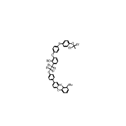 CCC(C)c1cccc(Oc2ccc(-c3ccc(OC(CC)(CC)C(CC)(CC)c4cccc(Oc5ccc(Sc6ccc(OC(C)(CC)CC)cc6)cc5)c4C#N)cc3)cc2)c1C#N